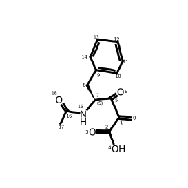 C=C(C(=O)O)C(=O)[C@H](Cc1ccccc1)NC(C)=O